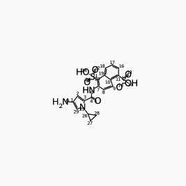 Nc1cc(C(=O)Nc2ccc3c(S(=O)(=O)O)cccc3c2S(=O)(=O)O)n(C2CC2)c1